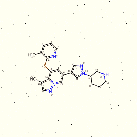 Cc1cccnc1Sc1cc(-c2cnn(C3CCCNC3)c2)cn2ncc(C#N)c12